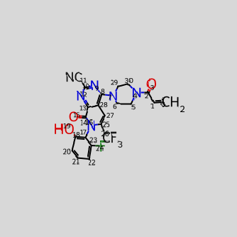 C=CC(=O)N1CCN(c2nc(C#N)nc3c(=O)n(-c4c(O)cccc4F)c(C(F)(F)F)cc23)CC1